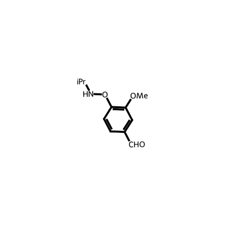 COc1cc(C=O)ccc1ONC(C)C